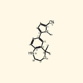 Cn1c(C#N)ccc1-c1ccc2c(c1)C(C)(C)OCCN2